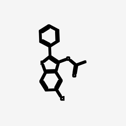 CC(=O)Oc1c(-c2ccccc2)sc2ccc(Cl)cc12